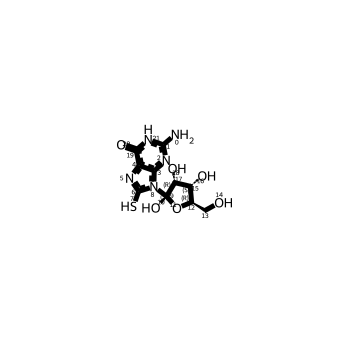 Nc1nc2c(nc(S)n2[C@@]2(O)O[C@H](CO)[C@@H](O)[C@H]2O)c(=O)[nH]1